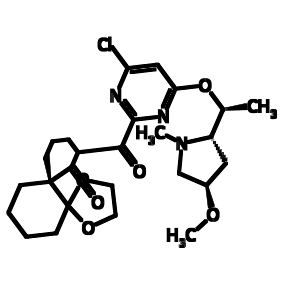 CO[C@@H]1C[C@@H]([C@H](C)Oc2cc(Cl)nc(C(=O)C3CCC[C@@]4(CCCCC45OCCO5)C3=O)n2)N(C)C1